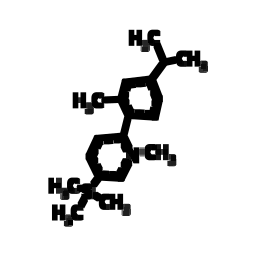 Cc1cc(C(C)C)ccc1-c1ccc([Si](C)(C)C)c[n+]1C